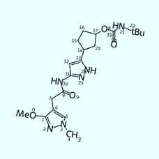 COc1nn(C)cc1CC(=O)Nc1cc(C2CCC(OC(=O)NC(C)(C)C)C2)[nH]n1